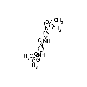 CCC1(CC)CN(c2ccc(NC(=O)N3CCC(NS(=O)(=O)C(C)C)CC3)cc2)CCO1